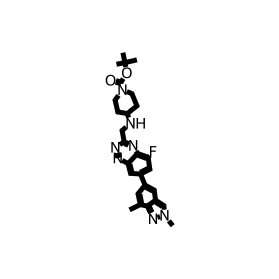 Cc1cc(-c2cc(F)c3nc(CNC4CCN(C(=O)OC(C)(C)C)CC4)nnc3c2)cc2cn(C)nc12